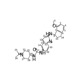 COc1cccc2c1C(Nc1ccc3cc(NC(=O)NC4CCN(C(C)C)CC4)ccc3n1)CC2